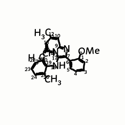 COc1ccccc1-c1nc2cc(C)cc(C)n2c1Nc1c(C)cccc1C